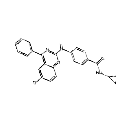 O=C(NC1CC1)c1ccc(Nc2nc(-c3ccccc3)c3cc(Cl)ccc3n2)cc1